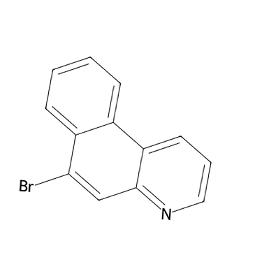 Brc1cc2ncccc2c2ccccc12